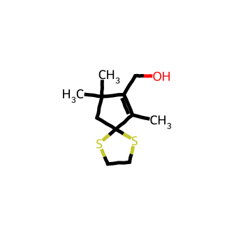 CC1=C(CO)C(C)(C)CC12SCCS2